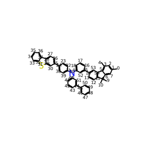 Cc1cc(C)c2c(c1)C(C)(C)c1ccc(-c3cccc(N(c4ccc(-c5ccc6c(c5)sc5ccccc56)cc4)c4cccc(-c5ccccc5)c4)c3)cc1-2